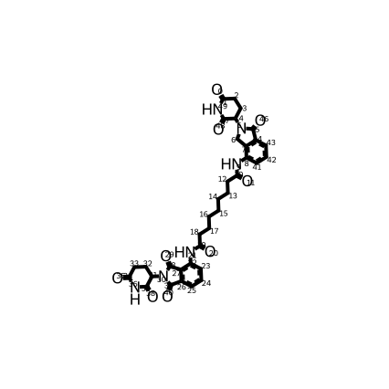 O=C1CCC(N2Cc3c(NC(=O)CCCCCCCC(=O)Nc4cccc5c4C(=O)N(C4CCC(=O)NC4=O)C5=O)cccc3C2=O)C(=O)N1